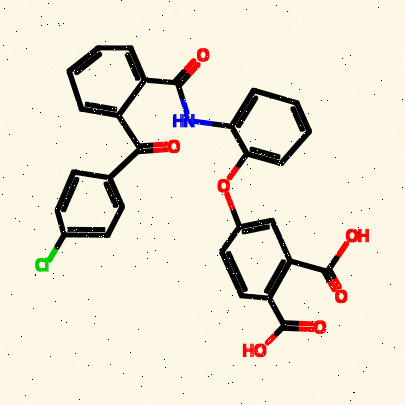 O=C(O)c1ccc(Oc2ccccc2NC(=O)c2ccccc2C(=O)c2ccc(Cl)cc2)cc1C(=O)O